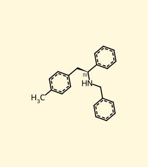 Cc1ccc(C[C@H](NCc2ccccc2)c2ccccc2)cc1